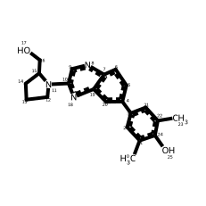 Cc1cc(-c2ccc3ncc(N4CCCC4CO)nc3c2)cc(C)c1O